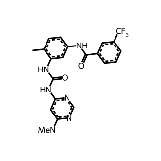 CNc1cc(NC(=O)Nc2cc(NC(=O)c3cccc(C(F)(F)F)c3)ccc2C)ncn1